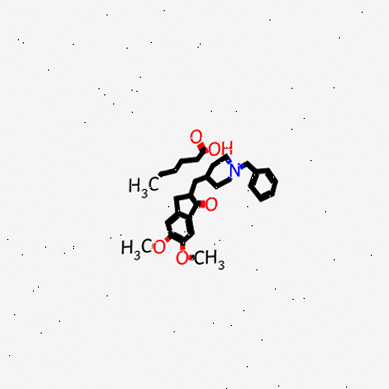 CCCCCC(=O)O.COc1cc2c(cc1OC)C(=O)C(CC1CCN(Cc3ccccc3)CC1)C2